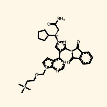 C[Si](C)(C)CCOCn1ccc2c(-c3cn([C@H](CC(N)=O)C4CCCC4)nc3N3C(=O)c4ccccc4C3=O)ncnc21